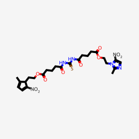 CC1=CC=C([N+](=O)[O-])C1CCOC(=O)CCCC(=O)NC(=S)NC(=O)CCCC(=O)OCCn1c([N+](=O)[O-])cnc1C